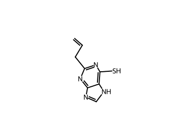 C=CCc1nc(S)c2[nH]cnc2n1